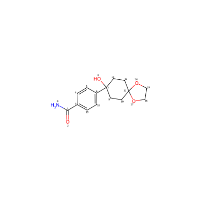 NC(=O)c1ccc(C2(O)CCC3(CC2)OCCO3)cc1